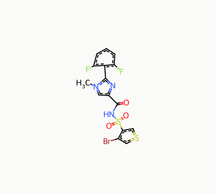 Cn1cc(C(=O)NS(=O)(=O)c2cscc2Br)nc1-c1c(F)cccc1F